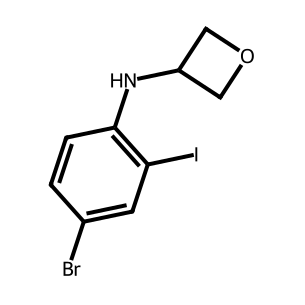 Brc1ccc(NC2COC2)c(I)c1